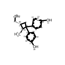 C[C@H]1[C@H](CC(C)(C)C)CC1(c1ccc(O)cc1)c1ccc(O)cc1